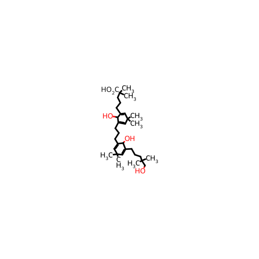 CC1(C)C=C(CCCC2=CC(C)(C)C=C(CCCC(C)(C)C(=O)O)C2O)C(O)C(CCCC(C)(C)CO)=C1